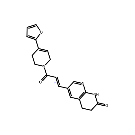 O=C1CCc2cc(/C=C/C(=O)N3CC=C(c4ccco4)CC3)cnc2N1